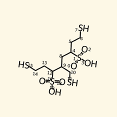 O=S(=O)(O)C(CCS)CC(CS)C(CCS)S(=O)(=O)O